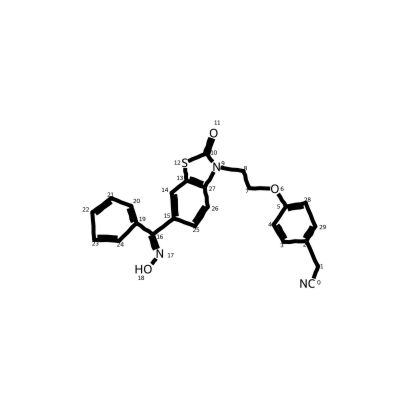 N#CCc1ccc(OCCn2c(=O)sc3cc(C(=NO)c4ccccc4)ccc32)cc1